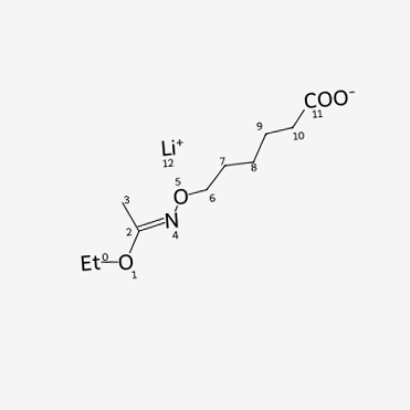 CCO/C(C)=N/OCCCCCC(=O)[O-].[Li+]